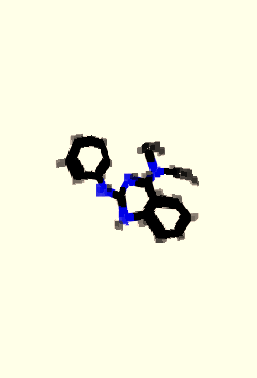 CN(C)c1nc(Nc2ccccc2)nc2ccccc12